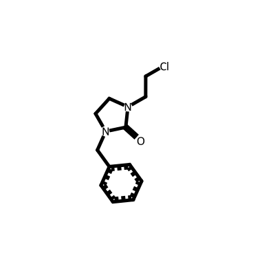 O=C1N(CCCl)CCN1Cc1ccccc1